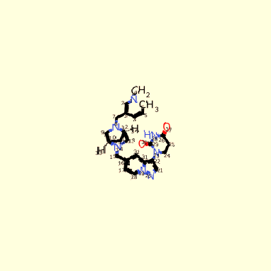 C=N/C=C(\C=C/C)CN1C[C@H]2C[C@@H]1CN2Cc1ccn2ncc(N3CCC(=O)NC3=O)c2c1